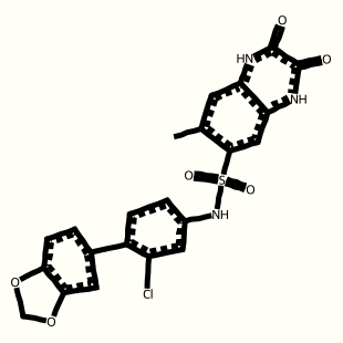 Cc1cc2[nH]c(=O)c(=O)[nH]c2cc1S(=O)(=O)Nc1ccc(-c2ccc3c(c2)OCO3)c(Cl)c1